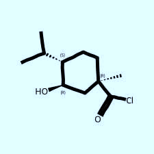 CC(C)[C@@H]1CC[C@@](C)(C(=O)Cl)C[C@H]1O